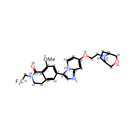 COc1cc(-c2cnc3cc(OCCN4C5CCC4COC5)ccn23)cc2c1C(=O)N(CC(F)(F)F)CC2